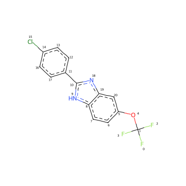 FC(F)(F)Oc1ccc2[nH]c(-c3ccc(Cl)cc3)nc2c1